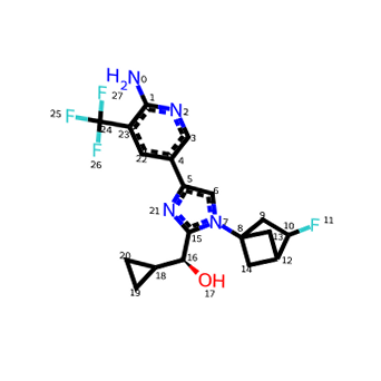 Nc1ncc(-c2cn(C34CC(F)C(C3)C4)c([C@@H](O)C3CC3)n2)cc1C(F)(F)F